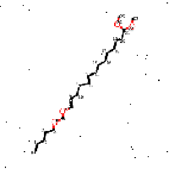 CCCCCOCOC=CCCCCCCCCCCCC(OC)OC